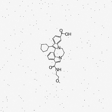 COCCNC(=O)c1cn2c3c(cccc13)-c1c(C3CCCCC3)c3ccc(C(=O)O)cc3n1CCC2